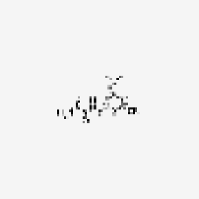 NC(=O)C(=O)NCc1cc(C2CC2)cc(C(F)(F)F)c1